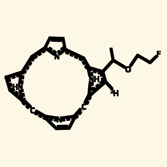 [2H]c1c(C(C)OCCF)c2cc3nc(cc4ccc(cc5nc(cc1[nH]2)C=C5)[nH]4)C=C3